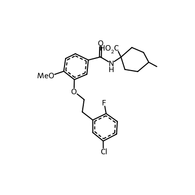 COc1ccc(C(=O)NC2(C(=O)O)CCC(C)CC2)cc1OCCc1cc(Cl)ccc1F